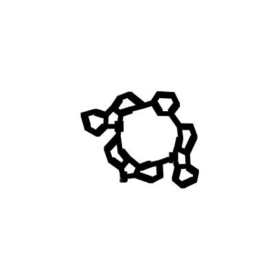 c1cc2cc(c1)c1ccc3c4ccccc4n(c4ccc5sc6ccc(cc6c5c4)n4c5ccccc5c5ccc2cc54)c3c1